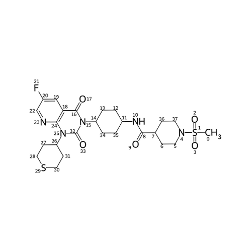 CS(=O)(=O)N1CCC(C(=O)NC2CCC(n3c(=O)c4cc(F)cnc4n(C4CCSCC4)c3=O)CC2)CC1